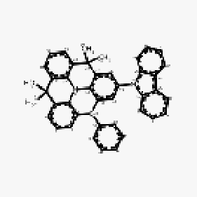 CC1(C)c2cccc3c2N2c4c(cc(-n5c6ccccc6c6ccccc65)cc4C(C)(C)c4cccc1c42)B3c1ccccc1